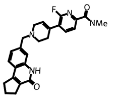 CNC(=O)c1ccc(C2=CCN(Cc3ccc4c5c(c(=O)[nH]c4c3)CCC5)CC2)c(F)n1